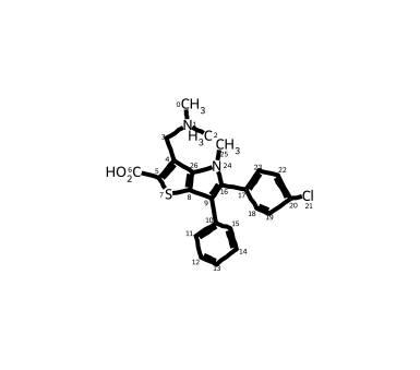 CN(C)Cc1c(C(=O)O)sc2c(-c3ccccc3)c(-c3ccc(Cl)cc3)n(C)c12